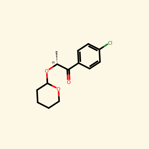 C[C@@H](OC1CCCCO1)C(=O)c1ccc(Cl)cc1